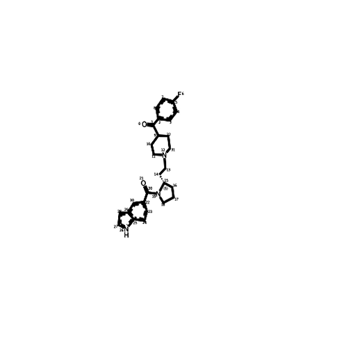 O=C(c1ccc(F)cc1)C1CCN(CC[C@@H]2CCCN2C(=O)c2ccc3[nH]ccc3c2)CC1